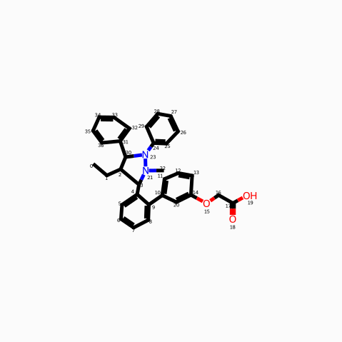 CCC1C(c2ccccc2-c2cccc(OCC(=O)O)c2)N(C)N(c2ccccc2)C1c1ccccc1